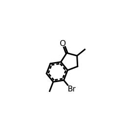 Cc1ccc2c(c1Br)CC(C)C2=O